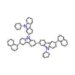 c1ccc(-n2c3ccc(-c4cccc5ccccc45)cc3c3ccc(-c4ccc5c6cc(-c7cccc8ccccc78)ccc6n(-c6ccc7c8ccccc8n(-c8ccccc8)c7c6)c5c4)cc32)cc1